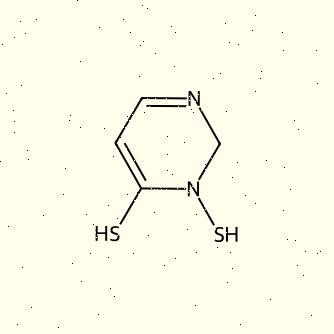 SC1=CC=NCN1S